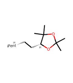 CCC[C@@H](C)CC[C@H]1OC(C)(C)OC1(C)C